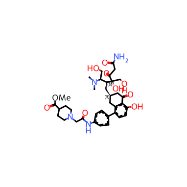 COC(=O)C1CCN(CC(=O)Nc2ccc(-c3ccc(O)c4c3C[C@@H](C[C@@H](C(CO)N(C)C)[C@](O)(CO)C(=O)CC(N)=O)CC4=O)cc2)CC1